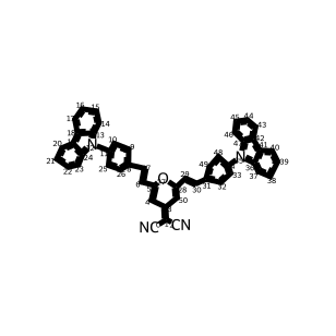 N#CC(C#N)=C1C=C(C=Cc2ccc(-n3c4ccccc4c4ccccc43)cc2)OC(C=Cc2ccc(-n3c4ccccc4c4ccccc43)cc2)=C1